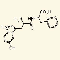 NC(Cc1c[nH]c2ccc(O)cc12)C(=O)NC(Cc1ccccc1)C(=O)O